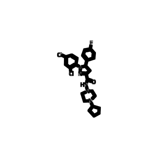 O=C(NN1CCN(C2CCCC2)CC1)C1=NN(c2ccc(Cl)cc2Cl)C(c2ccc(F)cc2)C1